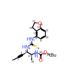 CC#C[C@@H](NC(=S)Nc1cccc2c1CCO2)[C@H](C)NC(=O)OC(C)(C)C